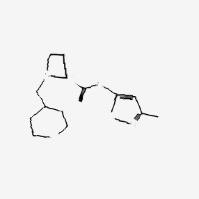 CC(C)(C)c1cc(NC(=O)[C@@H]2CCN2CC2CCOCC2)on1